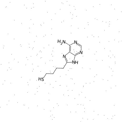 Nc1ncnc2[nH]c(CCCCS)nc12